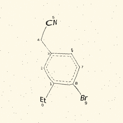 CCc1cc(CC#N)ccc1Br